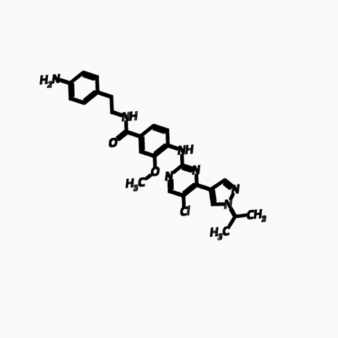 COc1cc(C(=O)NCCc2ccc(N)cc2)ccc1Nc1ncc(Cl)c(-c2cnn(C(C)C)c2)n1